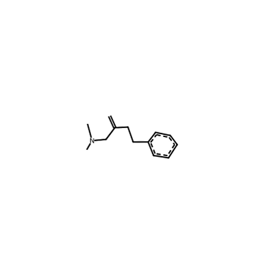 C=C(CCc1ccccc1)CN(C)C